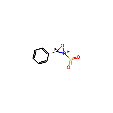 O=[SH](=O)[N@]1O[C@H]1c1ccccc1